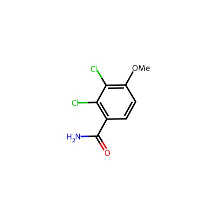 COc1ccc(C(N)=O)c(Cl)c1Cl